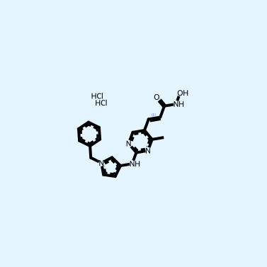 Cc1nc(Nc2ccn(Cc3ccccc3)c2)ncc1/C=C/C(=O)NO.Cl.Cl